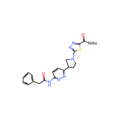 CNC(=O)c1nnc(N2CCC(c3ccc(NC(=O)Cc4ccccc4)nn3)C2)s1